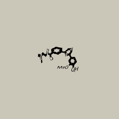 COc1cc(-c2cncc(-c3cccc(C(=O)NCCN(C)C)c3)n2)ccc1O